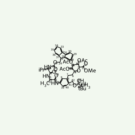 COC(=O)C1O[C@@H](CCc2cc(NC(=O)C(C)NC(=O)C(NC(=O)OCC3c4ccccc4-c4ccccc43)C(C)C)ccc2CO[Si](C)(C)C(C)(C)C)[C@H](OC(C)=O)[C@@H](OC(C)=O)[C@@H]1OC(C)=O